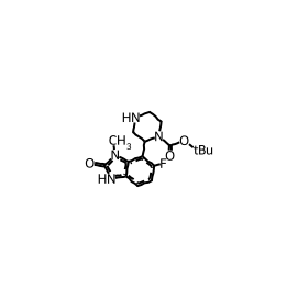 Cn1c(=O)[nH]c2ccc(F)c(C3CNCCN3C(=O)OC(C)(C)C)c21